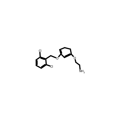 NCCOC1=CC(OCc2c(Cl)cccc2Cl)=CCC1